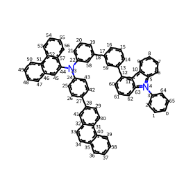 c1ccc(-n2c3ccccc3c3c(-c4cccc(-c5cccc(N(c6ccc(-c7ccc8c(ccc9ccccc98)c7)cc6)c6cc7ccccc7c7ccccc67)c5)c4)cccc32)cc1